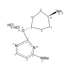 CNc1ccnc(O[C@H]2CC[C@H](N)CC2)n1.Cl.Cl